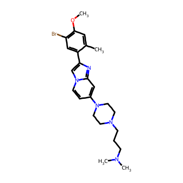 COc1cc(C)c(-c2cn3ccc(N4CCN(CCCN(C)C)CC4)cc3n2)cc1Br